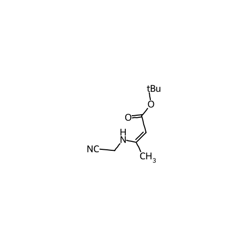 CC(=CC(=O)OC(C)(C)C)NCC#N